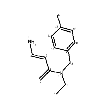 C=C(/C=C/N)N(CC)Cc1ccc(C)cc1